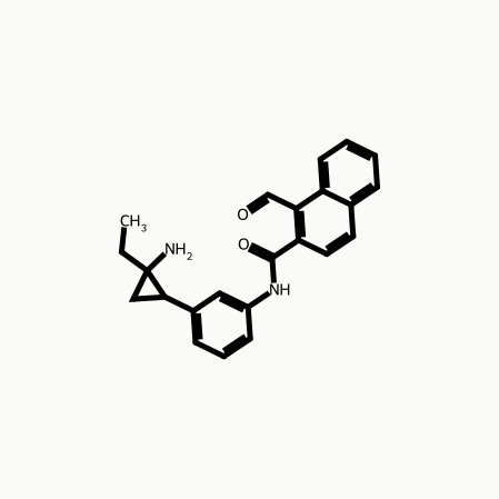 CCC1(N)CC1c1cccc(NC(=O)c2ccc3ccccc3c2C=O)c1